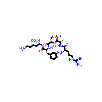 C[C@H](NC(=O)[C@@H](N)CCCNC(=N)N)C(=O)N[C@@H](CC(=O)O)C(=O)N[C@H](Cc1ccccc1)C(=O)N[C@@H](CCCCN)C(=O)O